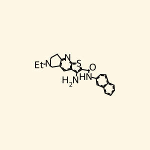 CCN1CCc2nc3sc(C(=O)Nc4ccc5ccccc5c4)c(N)c3cc2C1